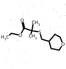 CCOC(=O)C(C)(C)SCC1CCOCC1